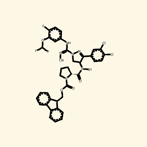 CCN(C(=O)[C@H]1CCCN1C(=O)OCC1c2ccccc2-c2ccccc21)C1CN(/C(=N\C#N)Nc2ccc(F)c(OC(F)F)c2)N=C1c1ccc(Cl)c(Cl)c1